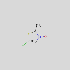 CC1SC(Cl)=C[NH+]1[O-]